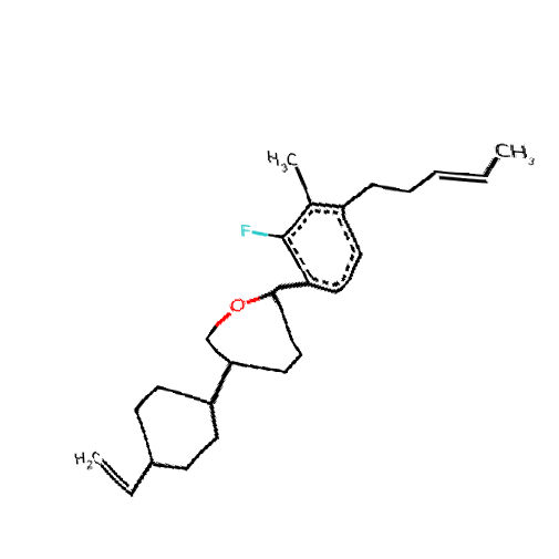 C=CC1CCC(C2CCC(c3ccc(CC/C=C/C)c(C)c3F)OC2)CC1